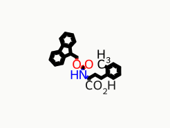 Cc1ccccc1CCC(NC(=O)OCC1c2ccccc2-c2ccccc21)C(=O)O